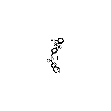 CCc1ccccc1S(=O)(=O)c1ccc(CNC(=O)c2cc3ccncc3s2)cc1